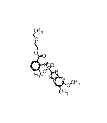 CCOCCOC(=O)c1cccc(C)c1NS(=O)(=O)c1nc2nc(OC)c(C)cn2n1